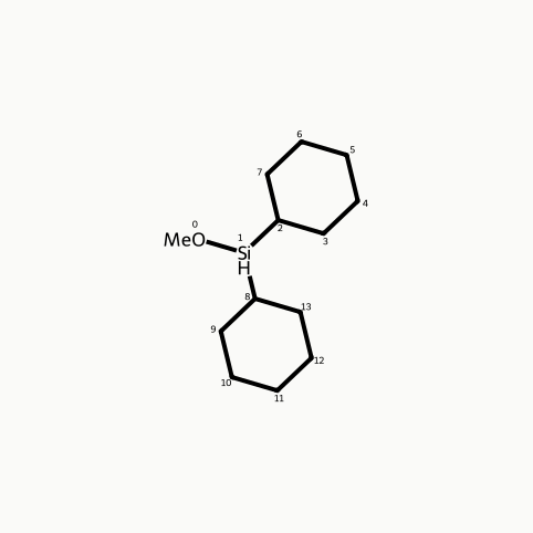 CO[SiH](C1CCCCC1)C1CCCCC1